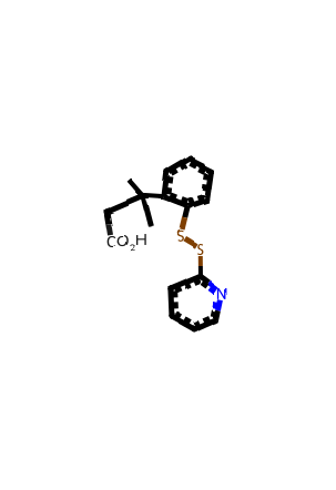 CC(C)(CC(=O)O)c1ccccc1SSc1ccccn1